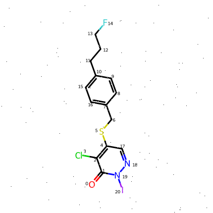 O=c1c(Cl)c(SCc2ccc(CCCF)cc2)cnn1I